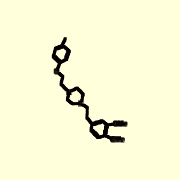 COc1ccc(CCN2CCN(CCOc3ccc(C)cc3)CC2)cc1OC